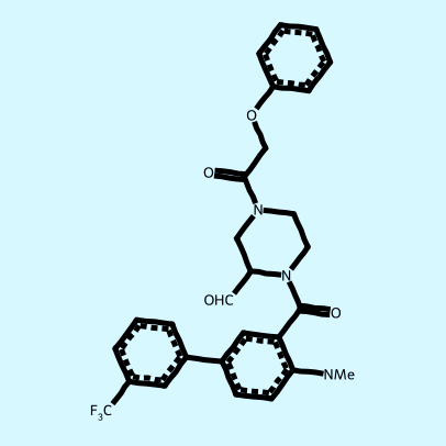 CNc1ccc(-c2cccc(C(F)(F)F)c2)cc1C(=O)N1CCN(C(=O)COc2ccccc2)CC1C=O